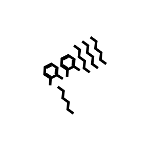 CCCCCC.CCCCCC.CCCCCC.CCCCCC.Cc1ccccc1C.Cc1ccccc1C